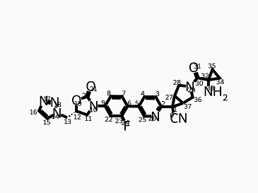 N#CC1(c2ccc(-c3ccc(N4C[C@H](Cn5ccnn5)OC4=O)cc3F)cn2)C2CN(C(=O)C3(N)CC3)CC21